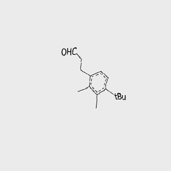 Cc1c(CCC=O)ccc(C(C)(C)C)c1C